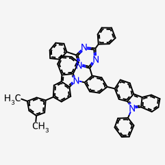 Cc1cc(C)cc(-c2ccc3c(c2)c2ccccc2n3-c2ccc(-c3ccc4c5ccccc5n(-c5ccccc5)c4c3)cc2-c2nc(-c3ccccc3)nc(-c3ccccc3)n2)c1